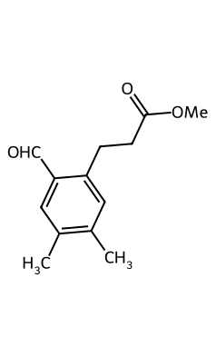 COC(=O)CCc1cc(C)c(C)cc1C=O